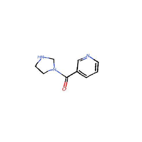 O=C(c1cccnc1)N1CCNC1